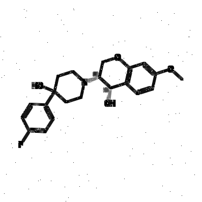 COc1ccc2c(c1)OC[C@@H](N1CCC(O)(c3ccc(F)cc3)CC1)[C@H]2O